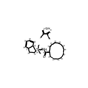 C=C(C)C(=C)C.[CH3][Ti]([CH3])([NH]C(=O)C1CCCCCCCCCCC1)[CH]1CCC2C=CC=CC21.[SiH4]